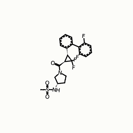 CS(=O)(=O)N[C@H]1CCN(C(=O)[C@H]2[C@H](c3ccccc3-c3c(F)cccc3F)C2(F)F)C1